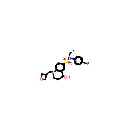 CCc1ccc(N(CC(C)C)S(=O)(=O)c2ccc3c(c2)C(O)CCN3CC2COC2)cc1